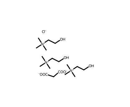 C[N+](C)(C)CCO.C[N+](C)(C)CCO.C[N+](C)(C)CCO.O=C([O-])CC(=O)[O-].[Cl-]